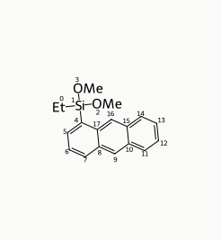 CC[Si](OC)(OC)c1cccc2cc3ccccc3cc12